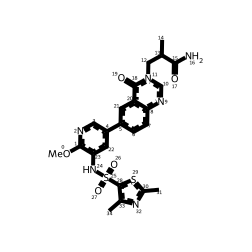 COc1ncc(-c2ccc3ncn(CC(C)C(N)=O)c(=O)c3c2)cc1NS(=O)(=O)c1sc(C)nc1C